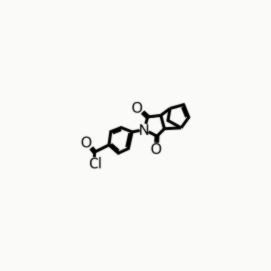 O=C(Cl)c1ccc(N2C(=O)C3C4C=CC(C4)C3C2=O)cc1